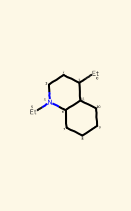 CCC1CCN(CC)C2CCCCC12